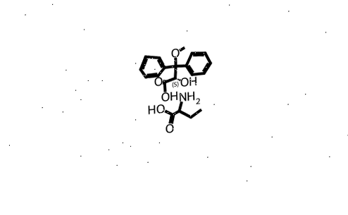 CCC(N)C(=O)O.COC(c1ccccc1)(c1ccccc1)[C@H](O)C(=O)O